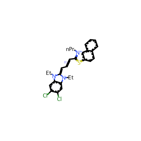 CCC[n+]1c(/C=C/C=C2N(CC)c3cc(Cl)c(Cl)cc3N2CC)sc2ccc3ccccc3c21